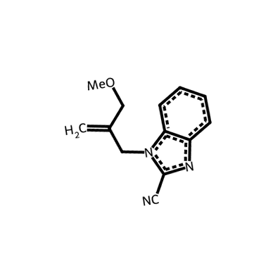 C=C(COC)Cn1c(C#N)nc2ccccc21